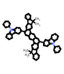 CC1(C)c2ccccc2-c2cc3c(-c4ccc5c(c4)c4ccccc4n5-c4ccccc4)cc4cc5c(cc(-c6ccc7c(c6)c6ccccc6n7-c6ccccc6)c6cc7c(cc65)C(C)(C)c5ccccc5-7)cc4c3cc21